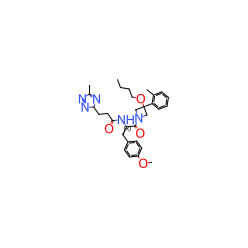 CCCCOC1(c2ccccc2C)CN(C(=O)[C@@H](Cc2ccc(OC)cc2)NC(=O)CCC2N=NC(C)=N2)C1